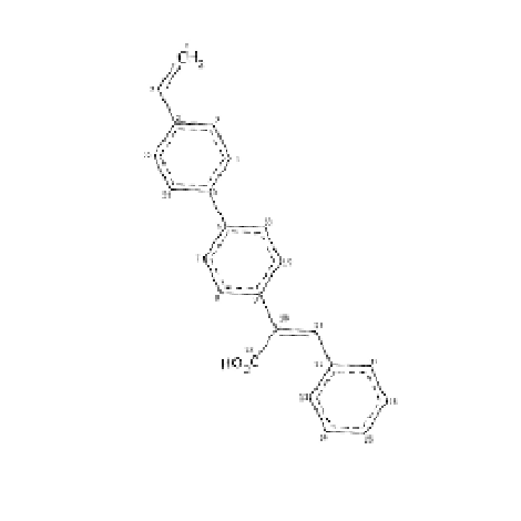 C=Cc1ccc(-c2ccc(C(=Cc3ccccc3)C(=O)O)cc2)cc1